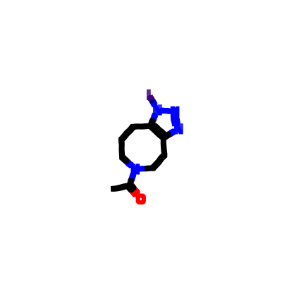 CC(=O)N1CCCc2c(nnn2I)CC1